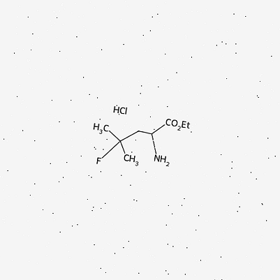 CCOC(=O)C(N)CC(C)(C)F.Cl